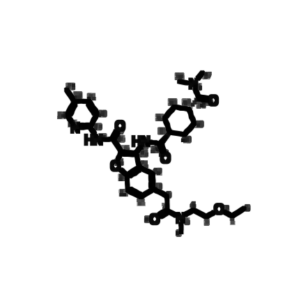 CCOCCN(C)C(=O)Cc1ccc2oc(C(=O)Nc3ccc(C)cn3)c(NC(=O)[C@H]3CC[C@H](C(=O)N(C)C)CC3)c2c1